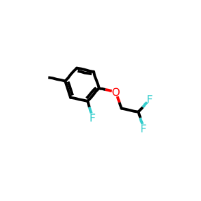 Cc1ccc(OCC(F)F)c(F)c1